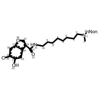 CCCCCCCCCN(C)CCCCCCCCNC(=O)c1coc2cc(Cl)c(O)cc12